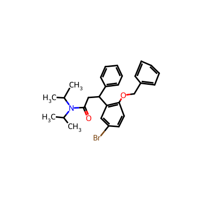 CC(C)N(C(=O)CC(c1ccccc1)c1cc(Br)ccc1OCc1ccccc1)C(C)C